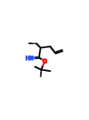 C=CCC(CC)C(=N)OC(C)(C)C